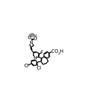 CC(C)(C)OC(=O)N1CC(=Cc2cnc(C3=C(c4ccc(Cl)cc4Cl)CCCc4cc(C(=O)O)ccc43)c(F)c2)C1